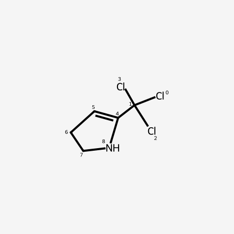 ClC(Cl)(Cl)C1=CCCN1